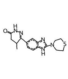 CC1CC(=O)NN=C1c1ccc2[nH]c(N3CCSCC3)nc2c1